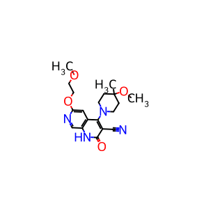 COCCOc1cc2c(N3CCC(C)(OC)CC3)c(C#N)c(=O)[nH]c2cn1